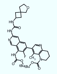 Cc1c(-c2cc3cc(NC(=O)NC4CC5(CCOC5)C4)ncc3c(NC(=O)OC(C)(C)C)c2F)cnc2c1N(C(=O)OC(C)(C)C)CCC2